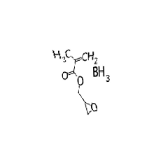 B.C=C(C)C(=O)OCC1CO1